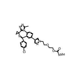 CNC(=O)OCCOCCn1cc(-c2ccc3c(c2)C(c2ccc(Cl)cc2)=NC2(CC2)c2nnc(C)n2-3)cn1